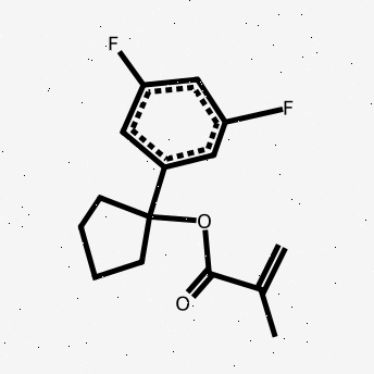 C=C(C)C(=O)OC1(c2cc(F)cc(F)c2)CCCC1